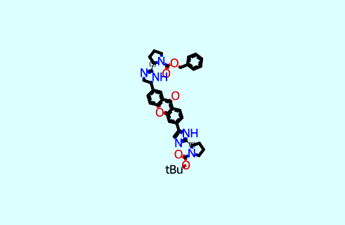 CC(C)(C)OC(=O)N1CCC[C@H]1c1ncc(-c2ccc3c(=O)c4cc(C5CN=C([C@@H]6CCCN6C(=O)OCc6ccccc6)N5)ccc4oc3c2)[nH]1